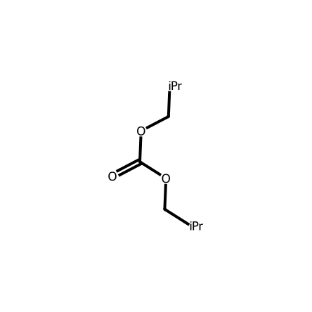 CC(C)COC(=O)OCC(C)C